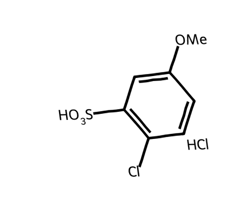 COc1ccc(Cl)c(S(=O)(=O)O)c1.Cl